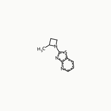 CC1CCN1c1nc2ncccc2s1